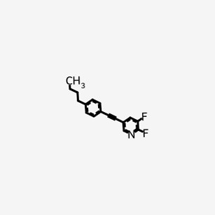 CCCCc1ccc(C#Cc2cnc(F)c(F)c2)cc1